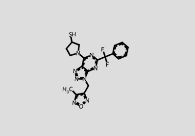 Cc1nonc1Cn1nnc2c(N3CCC(S)C3)nc(C(F)(F)c3ccccc3)nc21